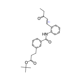 CCC(=O)/C=C/c1ccccc1NC(=O)c1cccc(CCC(=O)OC(C)(C)C)c1